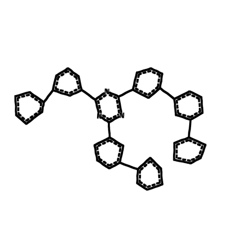 c1ccc(-c2cccc(-c3cccc(-c4nc(-c5cccc(-c6ccccc6)c5)nc(-c5cccc(-c6ccccc6)c5)n4)c3)c2)cc1